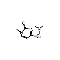 CN(C)/C=N\c1ccn(C)c(=O)n1